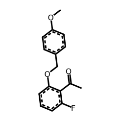 COc1ccc(COc2cccc(F)c2C(C)=O)cc1